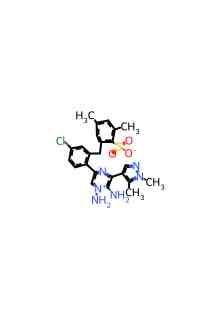 Cc1cc(C)c(S(=O)(=O)[O-])c(Cc2cc(Cl)ccc2-c2c[n+](N)c(N)c(-c3cnn(C)c3C)n2)c1